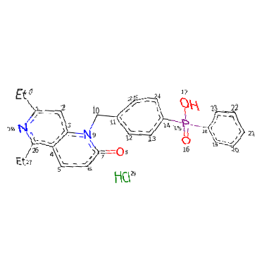 CCc1cc2c(ccc(=O)n2Cc2ccc(P(=O)(O)c3ccccc3)cc2)c(CC)n1.Cl